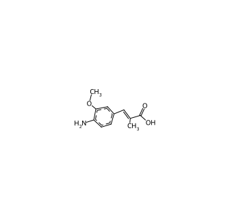 COc1cc(/C=C(\C)C(=O)O)ccc1N